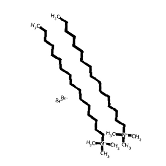 CCCCCCCCCCCCCCCC[N+](C)(C)C.CCCCCCCCCCCCCCCC[N+](C)(C)C.[Br-].[Br-]